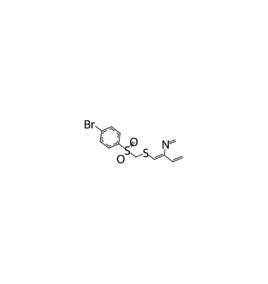 C=C/C(=C/SCS(=O)(=O)c1ccc(Br)cc1)N=C